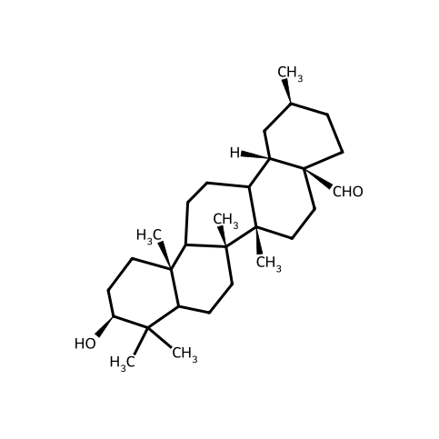 C[C@H]1CC[C@]2(C=O)CC[C@@]3(C)C(CCC4[C@@]5(C)CC[C@H](O)C(C)(C)C5CC[C@]43C)[C@@H]2C1